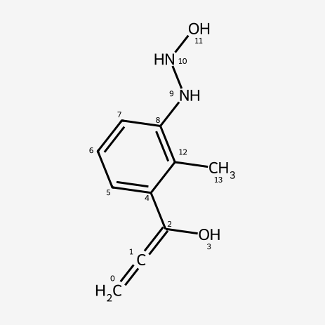 C=C=C(O)c1cccc(NNO)c1C